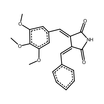 COc1cc(/C=C2/C(=O)NC(=O)/C2=C\c2ccccc2)cc(OC)c1OC